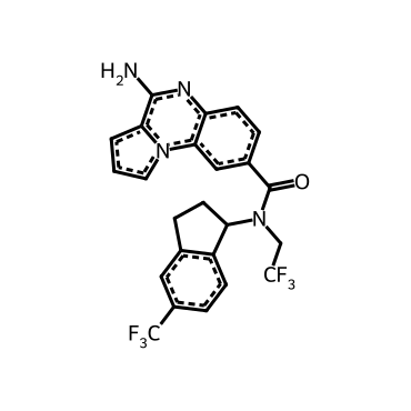 Nc1nc2ccc(C(=O)N(CC(F)(F)F)C3CCc4cc(C(F)(F)F)ccc43)cc2n2cccc12